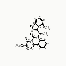 CC[C@H](C(=O)OC)n1c(=O)c2ccccc2n(C(C)c2c[nH]c3cccc(C)c23)c1=O